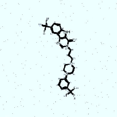 O=c1c2[nH]c3ccc(C(F)(F)F)cc3c2ncn1CCCN1CCN(c2cccc(C(F)(F)F)c2)CC1